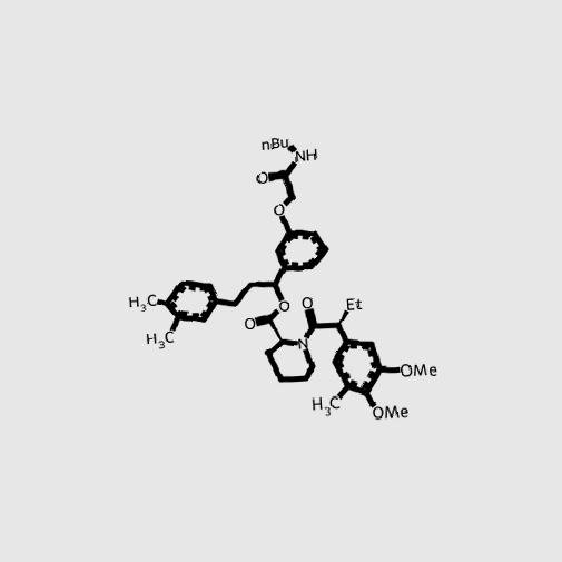 CCCCNC(=O)COc1cccc(C(CCc2ccc(C)c(C)c2)OC(=O)[C@@H]2CCCCN2C(=O)[C@@H](CC)c2cc(C)c(OC)c(OC)c2)c1